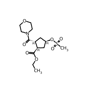 CCOC(=O)[C@@H]1C[C@H](OS(C)(=O)=O)C[C@H]1C(=O)N1CCOCC1